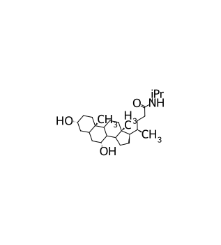 CC(C)NC(=O)CC[C@@H](C)[C@H]1CCC2C3C(CC[C@@]21C)[C@@]1(C)CC[C@@H](O)CC1C[C@H]3O